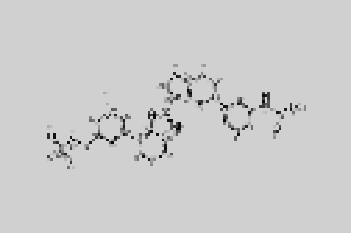 CC(C)(C)C(=O)Nc1cncc(-c2cnc3[nH]nc(-c4nc5c(-c6cc(F)cc(CNS(C)(=O)=O)c6)cccc5[nH]4)c3c2)c1